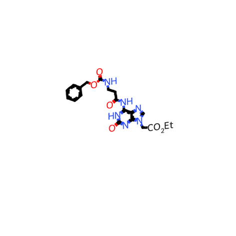 CCOC(=O)Cn1cnc2c(NC(=O)CCNC(=O)OCc3ccccc3)[nH]c(=O)nc21